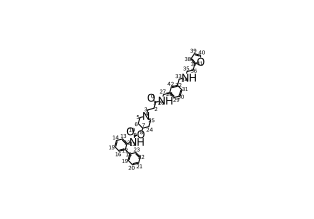 O=C(CCN1CCC(OC(=O)Nc2ccccc2-c2ccccc2)CC1)NCc1cccc(CNCCc2ccco2)c1